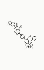 CC=Cc1cc(C(OCc2ccccc2)(C(F)(F)F)C(F)(F)F)ccc1N1CCN(C(=O)CN2C(=O)NC(C)(c3ccc4c(c3)OCC4)C2=O)CC1